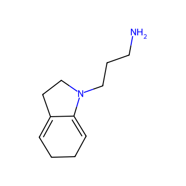 NCCCN1CCC2=CCCC=C21